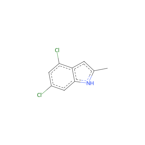 Cc1cc2c(Cl)cc(Cl)cc2[nH]1